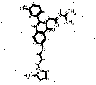 CC(C)NC(=O)Cn1c(-c2cccc(Cl)c2)nc2ccc(OCCCN3CCCC3C)cc2c1=O